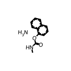 CNC(=O)Oc1cccc2ccccc12.N